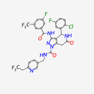 O=C1Cc2c(c(NC(=O)c3cc(F)cc(C(F)(F)F)c3)nn2C(=O)NCc2ccc(CC(F)(F)F)nc2)C(c2cc(F)ccc2Cl)N1